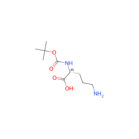 CC(C)(C)OC(=O)N[C@H](CCCN)C(=O)O